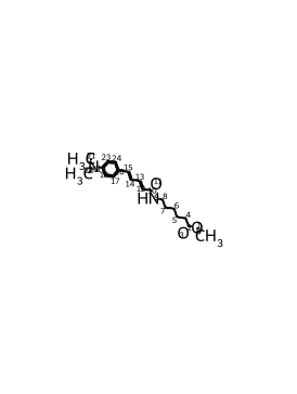 COC(=O)CCCCCNC(=O)C=CC=Cc1ccc(N(C)C)cc1